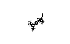 OC(CC(OCCCI)C(F)(F)F)c1ccc(-c2cc(C(F)(F)F)cc(C(F)(F)F)c2)cc1